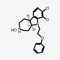 Cl.Clc1ccc2c(c1Cl)N(CCOc1ccccc1)[C@H]1CCNCC[C@@H]21